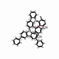 Cc1cccc(C)c1-n1c2ccccc2c2ccc(-n3c4ccc(-c5ccccc5)cc4c4cc(-c5ccccc5)ccc43)c(-c3cc(C#N)cc(C#N)c3)c21